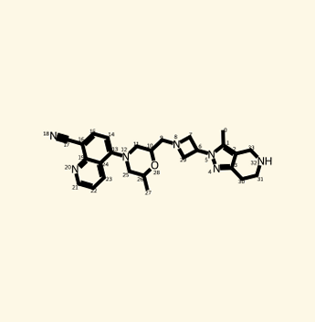 Cc1c2c(nn1C1CN(CC3CN(c4ccc(C#N)c5ncccc45)CC(C)O3)C1)CCNC2